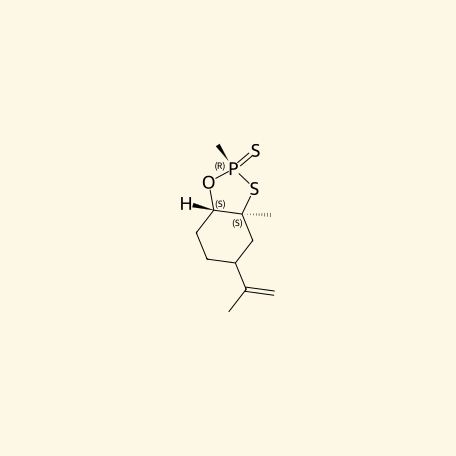 C=C(C)C1CC[C@@H]2O[P@](C)(=S)S[C@@]2(C)C1